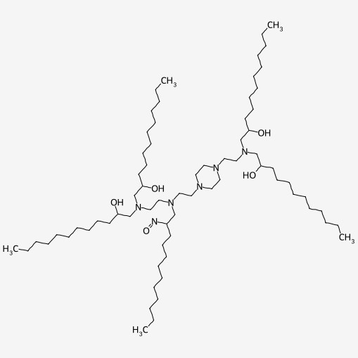 CCCCCCCCCCC(O)CN(CCN1CCN(CCN(CCN(CC(O)CCCCCCCCCC)CC(O)CCCCCCCCCC)CC(CCCCCCCCCC)N=O)CC1)CC(O)CCCCCCCCCC